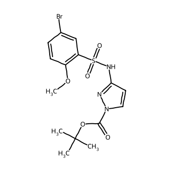 COc1ccc(Br)cc1S(=O)(=O)Nc1ccn(C(=O)OC(C)(C)C)n1